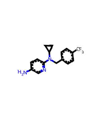 Nc1ccc(N(Cc2ccc(C(F)(F)F)cc2)C2CC2)nc1